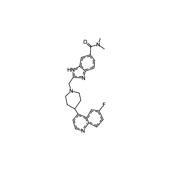 CN(C)C(=O)c1ccc2nc(CN3CCC(c4ccnc5ccc(F)cc45)CC3)[nH]c2c1